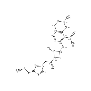 NCCn1cnc(CC(=O)N2CC(Oc3ccc4c(c3C(=O)O)OB(O)CC4)C2I)c1